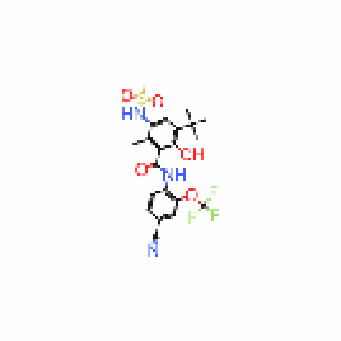 Cc1c(NS(C)(=O)=O)cc(C(C)(C)C)c(O)c1C(=O)Nc1ccc(C#N)cc1OC(F)(F)F